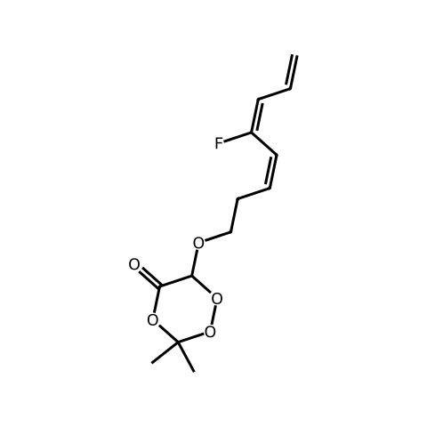 C=C/C=C(F)\C=C/CCOC1OOC(C)(C)OC1=O